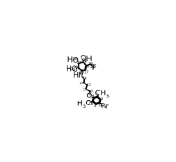 Cc1cc(Br)cc(C)c1OCCCCCN[C@@H]1C=C(CF)[C@H](O)[C@H](O)[C@H]1O